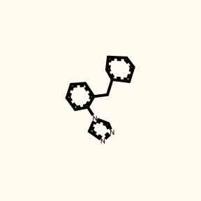 c1ccc(Cc2ccccc2-n2cnnc2)cc1